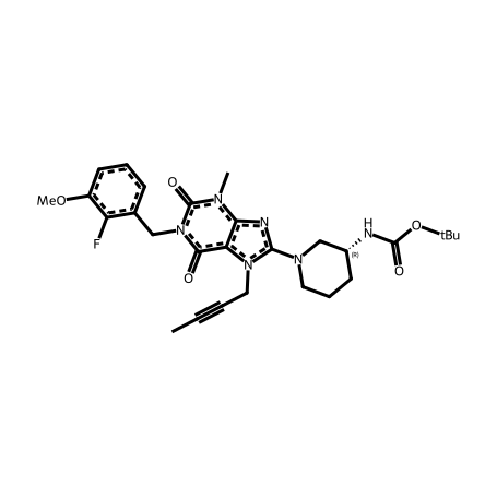 CC#CCn1c(N2CCC[C@@H](NC(=O)OC(C)(C)C)C2)nc2c1c(=O)n(Cc1cccc(OC)c1F)c(=O)n2C